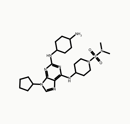 CN(C)S(=O)(=O)N1CCC(Nc2nc(NC3CCC(N)CC3)nc3c2ncn3C2CCCC2)CC1